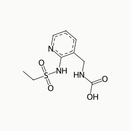 CCS(=O)(=O)Nc1ncccc1CNC(=O)O